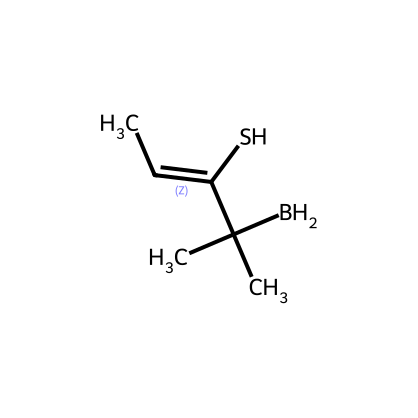 BC(C)(C)/C(S)=C/C